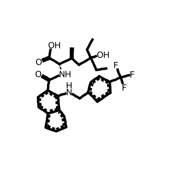 C=C(CC(O)(CC)CC)[C@H](NC(=O)c1ccc2ccccc2c1NCc1ccc(C(F)(F)F)cc1)C(=O)O